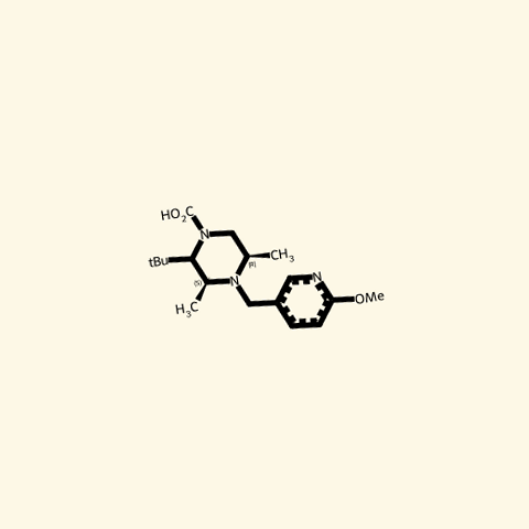 COc1ccc(CN2[C@H](C)CN(C(=O)O)C(C(C)(C)C)[C@@H]2C)cn1